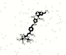 BC(B)(B)O/C(N)=C(/C=C(\N)c1ccc(CN[C@H]2C[C@@H](O)[C@@H](N(C)c3ncnc4sc(CC(F)(F)F)cc34)C2)cc1)OC(B)(B)B